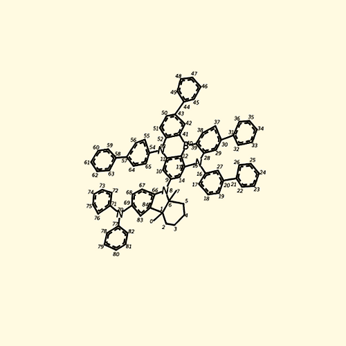 CC12CCCCC1(C)N(c1cc3c4c(c1)N(c1cccc(-c5ccccc5)c1)c1cc(-c5ccccc5)ccc1B4c1cc(-c4ccccc4)ccc1N3c1ccc(-c3ccccc3)cc1)c1ccc(N(c3ccccc3)c3ccccc3)cc12